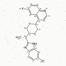 C[C@@H](c1nc2ccc(Cl)cc2[nH]1)C1CCC(c2ccnc3ccc(F)cc23)CC1